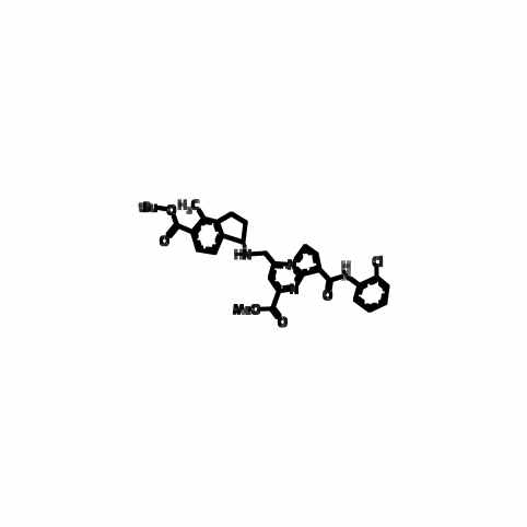 COC(=O)c1cc(CN[C@H]2CCc3c2ccc(C(=O)OC(C)(C)C)c3C)n2ccc(C(=O)Nc3ccccc3Cl)c2n1